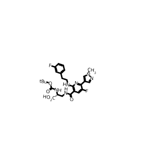 Cn1cc(-c2nc(NCCc3cccc(F)c3)c(C(=O)NC[C@@H](NC(=O)OC(C)(C)C)C(=O)O)cc2F)cn1